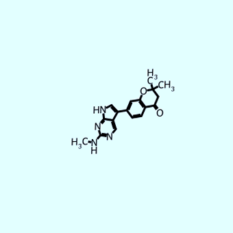 CNc1ncc2c(-c3ccc4c(c3)OC(C)(C)CC4=O)c[nH]c2n1